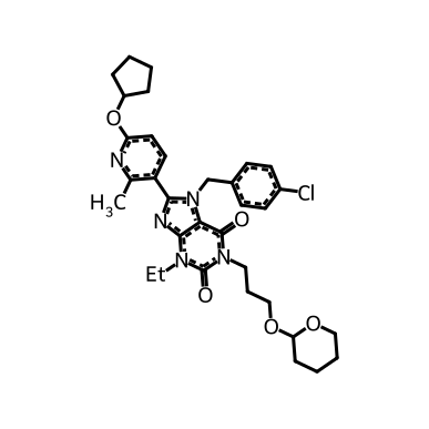 CCn1c(=O)n(CCCOC2CCCCO2)c(=O)c2c1nc(-c1ccc(OC3CCCC3)nc1C)n2Cc1ccc(Cl)cc1